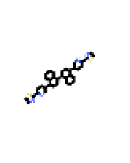 c1ccc2c(-c3ccc(-c4ccc(-c5nccs5)nc4)c4ccccc34)ccc(-c3ccc(-c4nccs4)nc3)c2c1